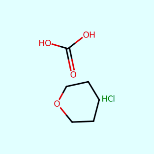 C1CCOCC1.Cl.O=C(O)O